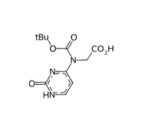 CC(C)(C)OC(=O)N(CC(=O)O)c1cc[nH]c(=O)n1